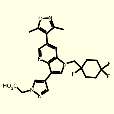 Cc1noc(C)c1-c1cnc2c(-c3cnn(CC(=O)O)c3)cn(CC3(F)CCC(F)(F)CC3)c2c1